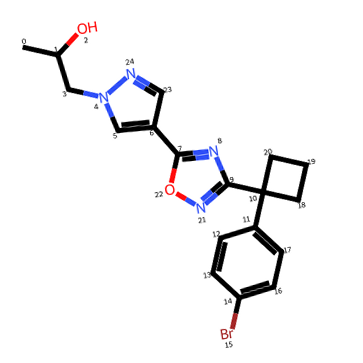 CC(O)Cn1cc(-c2nc(C3(c4ccc(Br)cc4)CCC3)no2)cn1